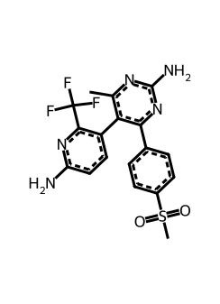 Cc1nc(N)nc(-c2ccc(S(C)(=O)=O)cc2)c1-c1ccc(N)nc1C(F)(F)F